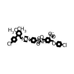 CC1(C)CCC(CN2CCN(c3ccc(S(=O)(=O)NC(=O)c4ccc(COc5ccc(Cl)cc5)c([N+](=O)[O-])c4)cc3)CC2)=C(c2ccc(Cl)cc2)C1